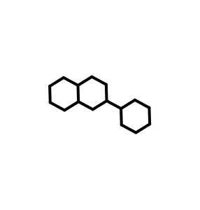 C1CCC(C2CCC3CCCCC3C2)CC1